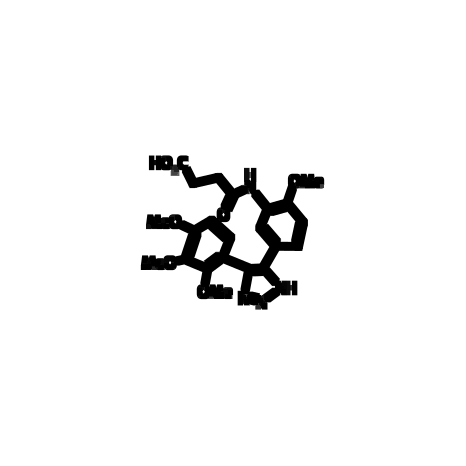 COc1ccc(-c2[nH]nnc2-c2ccc(OC)c(OC)c2OC)cc1NC(=O)CCC(=O)O